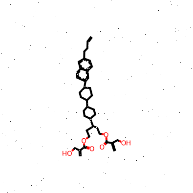 C=CCCc1ccc2cc(C3CCC(C4CCC(C(CCOC(=O)C(=C)CO)CCOC(=O)C(=C)CO)CC4)CC3)ccc2c1